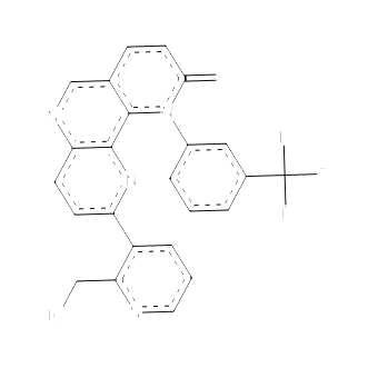 O=c1ccc2cnc3ccc(-c4cccnc4CO)nc3c2n1-c1cccc(C(F)(F)F)c1